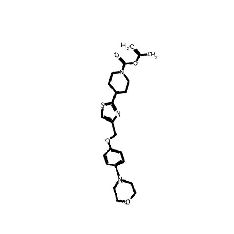 C=C(C)OC(=O)N1CCC(c2nc(COc3ccc(N4CCOCC4)cc3)cs2)CC1